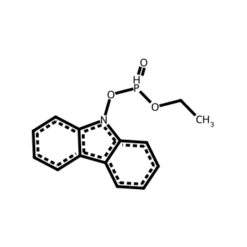 CCO[PH](=O)On1c2ccccc2c2ccccc21